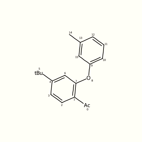 CC(=O)c1ccc(C(C)(C)C)cc1Oc1cccc(C)c1